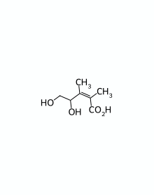 CC(C(=O)O)=C(C)C(O)CO